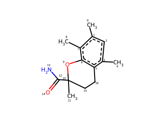 Cc1cc(C)c2c(c1C)OC(C)(C(N)=O)CC2